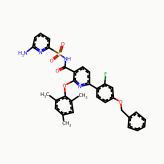 Cc1cc(C)c(Oc2nc(-c3ccc(OCc4ccccc4)cc3F)ccc2C(=O)NS(=O)(=O)c2cccc(N)n2)c(C)c1